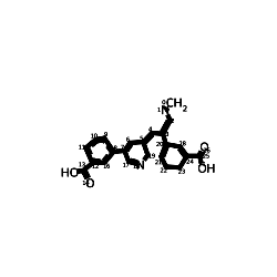 C=N/C=C(\C=C1\C=C(c2cccc(C(=O)O)c2)C=NC1)C1=CCCC(C(=O)O)=C1